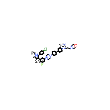 CSc1c(-c2cc(F)cc(N3CCN(c4ccc(-c5ccc(NCCCN6CCOCC6)c([N+](=O)[O-])c5)cc4)CC3)c2)c(-c2ccc(Cl)cc2)n(C(C)C)c1C